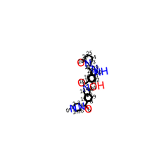 CN1CCN(C(=O)c2ccc3c(c2)CN(C(=O)c2cc4c(CN5CCCCC5=O)n[nH]c4cc2O)C3)CC1